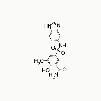 Cc1cc(S(=O)(=O)Nc2ccc3[nH]cnc3c2)cc(C(N)=O)c1O